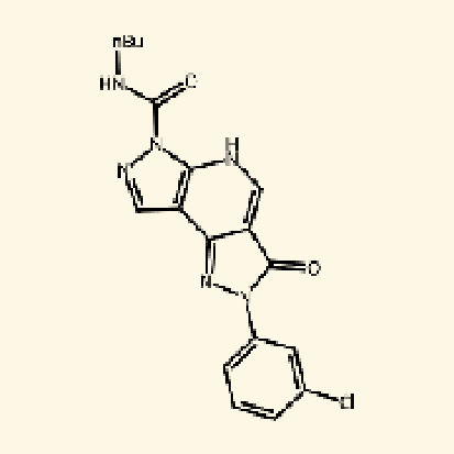 CCCCNC(=O)n1ncc2c3nn(-c4cccc(Cl)c4)c(=O)c-3c[nH]c21